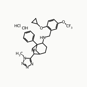 Cl.Cl.Cn1nnnc1C1CC2(c3ccccc3)NC1CCC2NCc1cc(OC(F)(F)F)ccc1OC1CC1